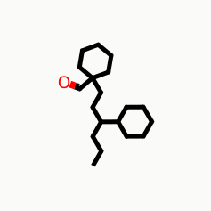 CCCC(CCC1(C=O)CCCCC1)C1CCCCC1